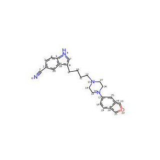 N#Cc1ccc2[nH]cc(CCCCN3CCN(c4ccc5cocc5c4)CC3)c2c1